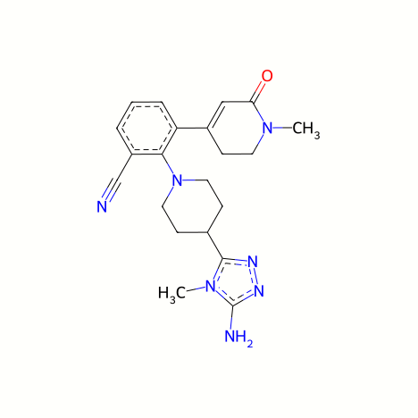 CN1CCC(c2cccc(C#N)c2N2CCC(c3nnc(N)n3C)CC2)=CC1=O